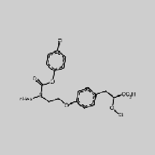 CCCCCCN(CCOc1ccc(CC(OCC)C(=O)O)cc1)C(=O)Oc1ccc(Cl)cc1